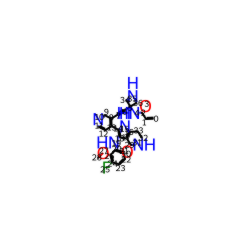 C=CC(=O)NC1(C#Cc2cnccc2-c2[nH]c3c(c2Nc2cccc(F)c2OC)C(=O)NCC3)CNC1